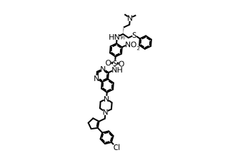 CN(C)CC[C@H](CSc1ccccc1)Nc1ccc(S(=O)(=O)Nc2ncnc3cc(N4CCN(CC5=C(c6ccc(Cl)cc6)CCC5)CC4)ccc23)cc1[N+](=O)[O-]